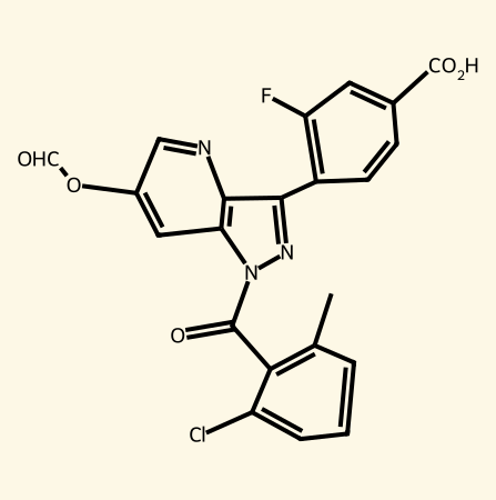 Cc1cccc(Cl)c1C(=O)n1nc(-c2ccc(C(=O)O)cc2F)c2ncc(OC=O)cc21